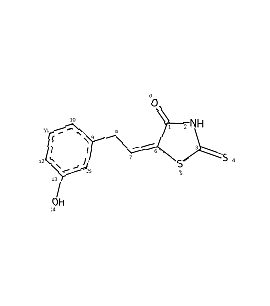 O=C1NC(=S)S/C1=C/Cc1cccc(O)c1